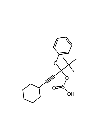 CC(C)(C)C(C#CC1CCCCC1)(Oc1ccccc1)OS(=O)O